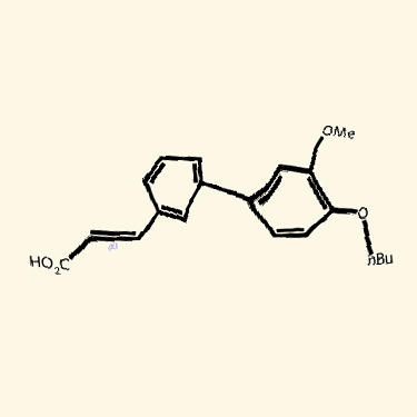 CCCCOc1ccc(-c2cccc(/C=C/C(=O)O)c2)cc1OC